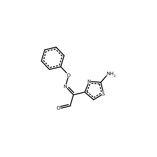 Nc1nc(/C([C]=O)=N\Oc2ccccc2)cs1